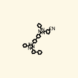 N#Cc1cccc(-c2nc(-c3ccccc3)nc(-c3ccc(-c4ccc(-c5nc(-c6ccccc6)nc(-c6cccc(-c7ccccc7)c6)n5)cc4)cc3)n2)c1